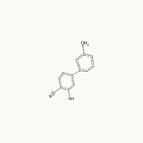 Cc1cccc(-c2ccc(C#N)c(O)c2)c1